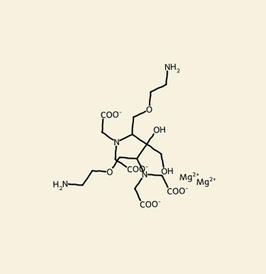 NCCOCC(N(CC(=O)[O-])CC(=O)[O-])C(O)(CO)C(COCCN)N(CC(=O)[O-])CC(=O)[O-].[Mg+2].[Mg+2]